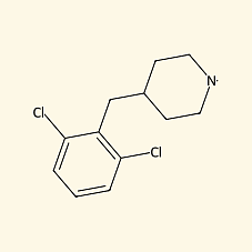 Clc1cccc(Cl)c1CC1CC[N]CC1